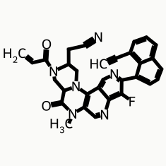 C#Cc1cccc2cccc(-c3ncc4c5c(cnc4c3F)N(C)C(=O)C3CN(C(=O)C=C)C(CC#N)CN53)c12